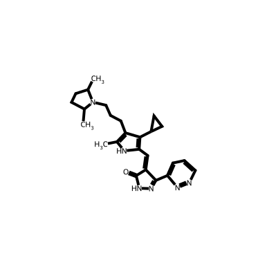 Cc1[nH]c(C=C2C(=O)NN=C2c2cccnn2)c(C2CC2)c1CCCN1C(C)CCC1C